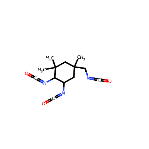 CC1(CN=C=O)CC(N=C=O)C(N=C=O)C(C)(C)C1